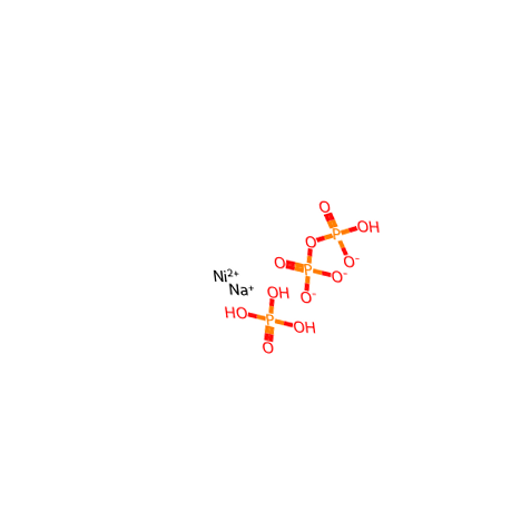 O=P(O)(O)O.O=P([O-])([O-])OP(=O)([O-])O.[Na+].[Ni+2]